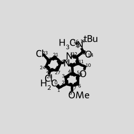 C=Cc1cc2c(cc1OC)OCc1c(C(=O)N(C)C(C)(C)C)nn(-c3cc(Cl)cc(Cl)c3)c1-2